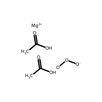 CC(=O)O.CC(=O)O.[Mg+2].[O-]O[O-]